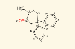 CC1CCC(c2ccccc2)(c2ccccc2)CC1=O